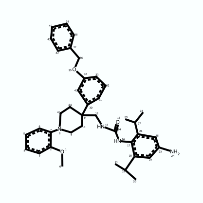 COc1ccccc1N1CCC(CNC(=O)Nc2c(C(C)C)cc(N)cc2C(C)C)(c2cccc(OCc3ccccc3)c2)CC1